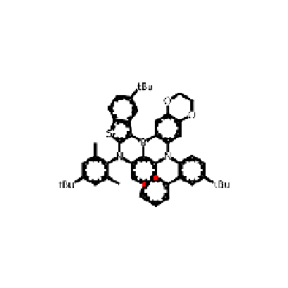 Cc1cc2c3c(c1)N(c1c(C)cc(C(C)(C)C)cc1C)c1sc4ccc(C(C)(C)C)cc4c1B3c1cc3c(cc1N2c1ccc(C(C)(C)C)cc1-c1ccccc1)OCCO3